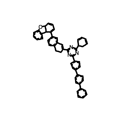 C1=CCC(c2nc(C3=Cc4cc(C5=CC=CC6Oc7ccccc7C56)ccc4CC3)nc(-c3ccc(-c4ccc(-c5ccccc5)cc4)cc3)n2)C=C1